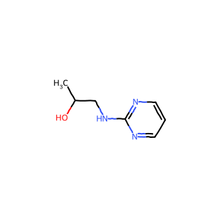 CC(O)CNc1ncccn1